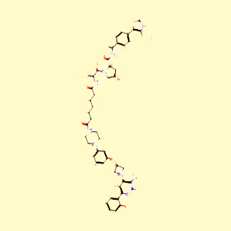 Cc1ncsc1-c1ccc(C(C)NC(=O)[C@@H]2C[C@@H](O)CN2C(=O)C(NC(=O)CCCCCC(=O)N2CCN(c3cccc(OC4CN(c5cc(-c6ccccc6O)nnc5N)C4)c3)CC2)C(C)(C)C)cc1